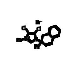 CC[n+]1cn(C2(CC)C=Cc3ccccc3C2)c(Cl)c1Cl.[Br-]